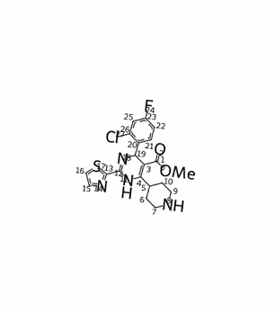 COC(=O)C1=C(C2CCNCC2)NC(c2nccs2)=NC1c1ccc(F)cc1Cl